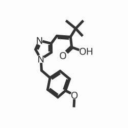 COc1ccc(Cn2cnc(C=C(C(=O)O)C(C)(C)C)c2)cc1